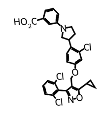 O=C(O)c1cccc(N2CCC(c3ccc(OCc4c(-c5c(Cl)cccc5Cl)noc4C4CC4)cc3Cl)C2)c1